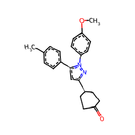 COc1ccc(-n2nc([C]3CCC(=O)CC3)cc2-c2ccc(C)cc2)cc1